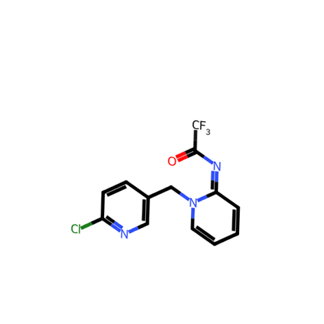 O=C(/N=c1/ccccn1Cc1ccc(Cl)nc1)C(F)(F)F